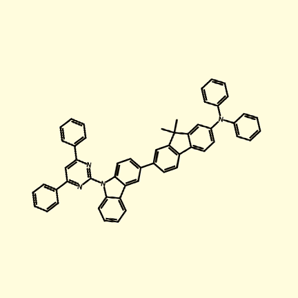 CC1(C)c2cc(-c3ccc4c(c3)c3ccccc3n4-c3nc(-c4ccccc4)cc(-c4ccccc4)n3)ccc2-c2ccc(N(c3ccccc3)c3ccccc3)cc21